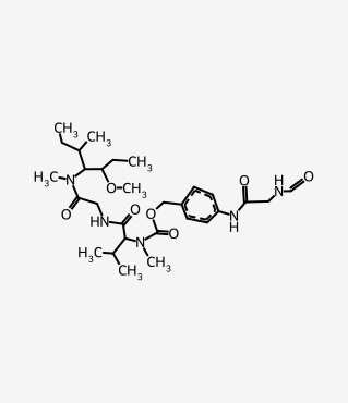 CCC(C)C(C(CC)OC)N(C)C(=O)CNC(=O)C(C(C)C)N(C)C(=O)OCc1ccc(NC(=O)CNC=O)cc1